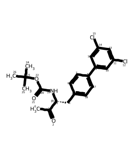 CC(=O)[C@@H](Cc1ccc(-c2cc(Cl)cc(Cl)c2)cc1)NC(=O)OC(C)(C)C